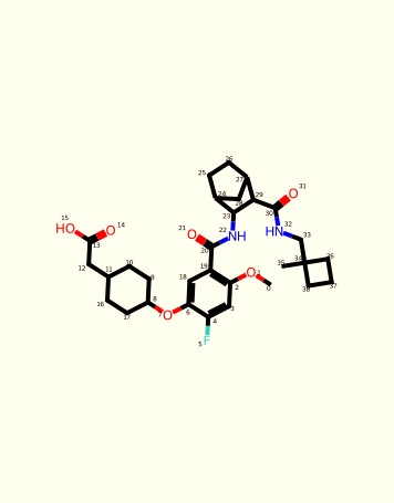 COc1cc(F)c(OC2CCC(CC(=O)O)CC2)cc1C(=O)NC1C2CCC(C2)C1C(=O)NCC1(C)CCC1